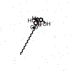 CCCCCCCCCCCCCCCCCC(=O)OC1=CC[C@@]2(O)[C@H]3Cc4ccc(CO)c5c4[C@@]2(CCN3C)[C@H]1O5